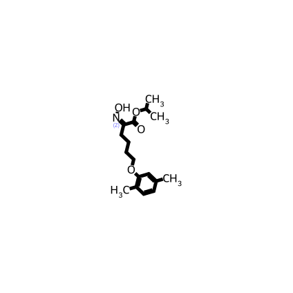 Cc1ccc(C)c(OCCCC/C(=N/O)C(=O)OC(C)C)c1